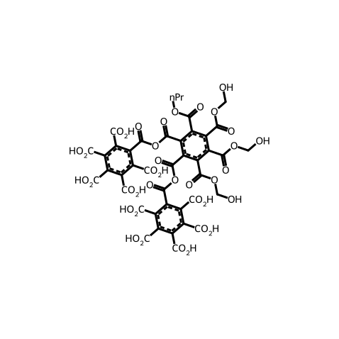 CCCOC(=O)c1c(C(=O)OCO)c(C(=O)OCO)c(C(=O)OCO)c(C(=O)OC(=O)c2c(C(=O)O)c(C(=O)O)c(C(=O)O)c(C(=O)O)c2C(=O)O)c1C(=O)OC(=O)c1c(C(=O)O)c(C(=O)O)c(C(=O)O)c(C(=O)O)c1C(=O)O